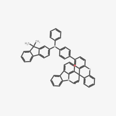 CC1(C)c2ccccc2-c2ccc(N(c3ccccc3)c3ccc(-c4ccc5c(c4)C4(c6ccccc6S5)c5ccccc5-n5c6ccccc6c6cccc4c65)cc3)cc21